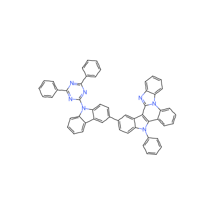 c1ccc(-c2nc(-c3ccccc3)nc(-n3c4ccccc4c4cc(-c5ccc6c(c5)c5c(c7ccccc7n7c8ccccc8nc57)n6-c5ccccc5)ccc43)n2)cc1